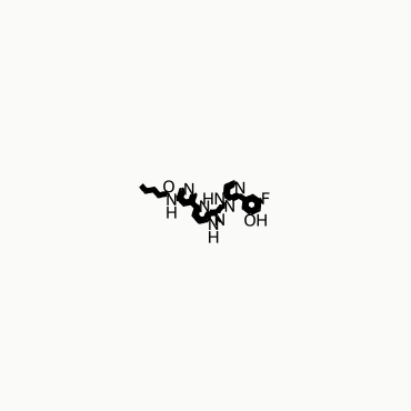 CCCCC(=O)Nc1cncc(-c2ccc3[nH]nc(-c4nc5c(-c6cc(O)cc(F)c6)nccc5[nH]4)c3n2)c1